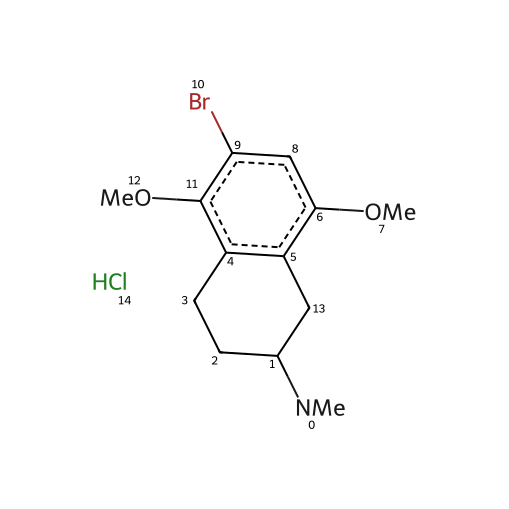 CNC1CCc2c(c(OC)cc(Br)c2OC)C1.Cl